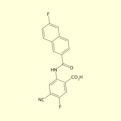 N#Cc1cc(NC(=O)c2ccc3cc(F)ccc3c2)c(C(=O)O)cc1F